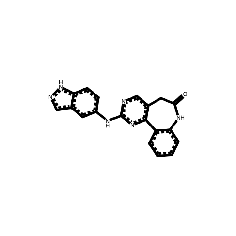 O=C1Cc2cnc(Nc3ccc4[nH]ncc4c3)nc2-c2ccccc2N1